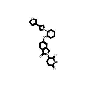 O=C1CCC(N2Cc3cc(O[C@@H]4CCCC[C@@H]4N4CC(C5=CCOC5)C4)ccc3C2=O)C(=O)N1